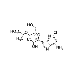 CCC(O)[C@@H](O[C@@H](CO)COC(C)C(=O)O)n1cnc2c(N)nc(Cl)nc21